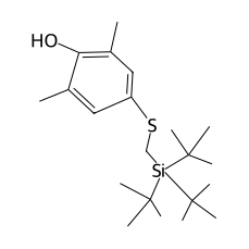 Cc1cc(SC[Si](C(C)(C)C)(C(C)(C)C)C(C)(C)C)cc(C)c1O